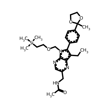 CCc1c(-c2ccc(C3(C)OCCO3)cc2)n(COCC[Si](C)(C)C)c2ncc(CNC(C)=O)nc12